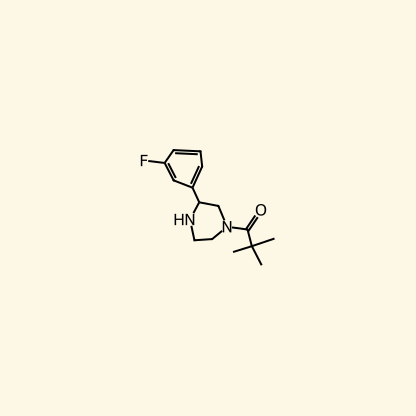 CC(C)(C)C(=O)N1CCNC(c2cccc(F)c2)C1